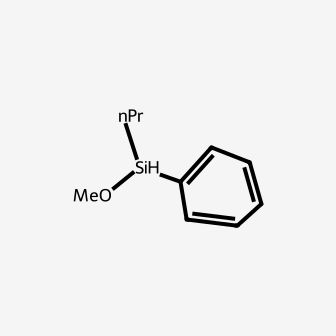 CCC[SiH](OC)c1ccccc1